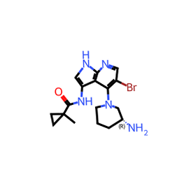 CC1(C(=O)Nc2c[nH]c3ncc(Br)c(N4CCC[C@@H](N)C4)c23)CC1